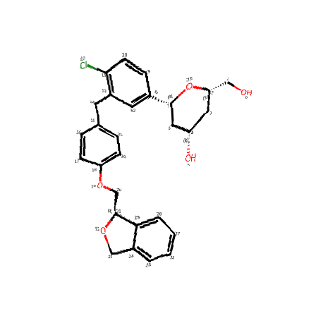 OC[C@@H]1C[C@H](O)C[C@H](c2ccc(Cl)c(Cc3ccc(OC[C@@H]4OCc5ccccc54)cc3)c2)O1